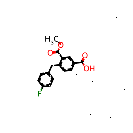 COC(=O)c1cc(C(=O)O)ccc1Cc1ccc(F)cc1